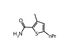 CCCc1cc(C)c(C(N)=O)s1